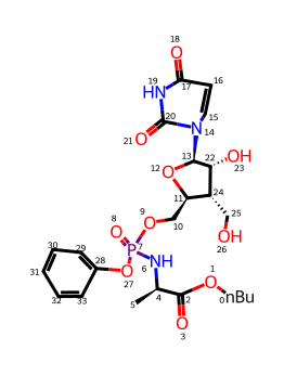 CCCCOC(=O)[C@@H](C)NP(=O)(OC[C@H]1O[C@@H](n2ccc(=O)[nH]c2=O)[C@H](O)[C@@H]1CO)Oc1ccccc1